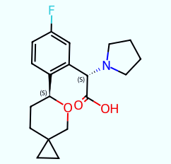 O=C(O)[C@H](c1cc(F)ccc1[C@@H]1CCC2(CC2)CO1)N1CCCC1